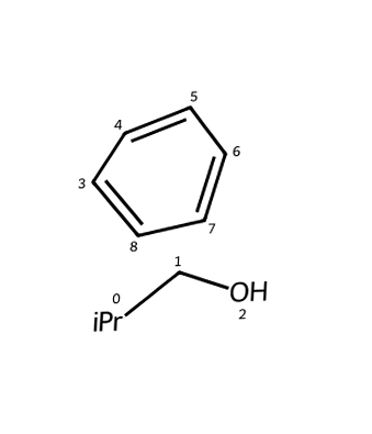 CC(C)CO.c1ccccc1